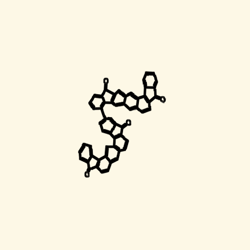 O=c1c2cc3cc4c(ccc5c(=O)c6ccccc6c54)cc3cc2c2c(-c3ccc4c(c3)c(=O)c3ccc5cc6ccc7c(=O)c8ccccc8c7c6cc5c34)cccc12